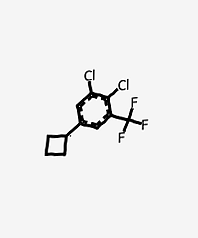 FC(F)(F)c1cc([C]2CCC2)cc(Cl)c1Cl